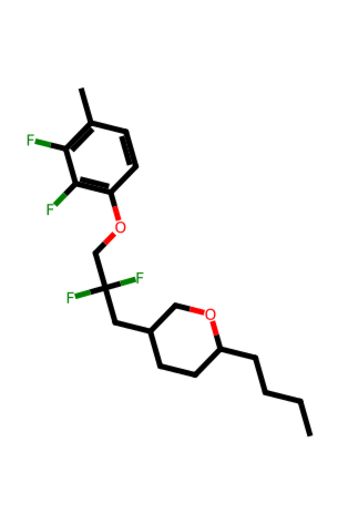 CCCCC1CCC(CC(F)(F)COc2ccc(C)c(F)c2F)CO1